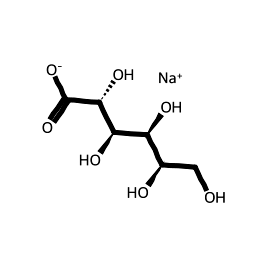 O=C([O-])[C@H](O)[C@H](O)[C@@H](O)[C@H](O)CO.[Na+]